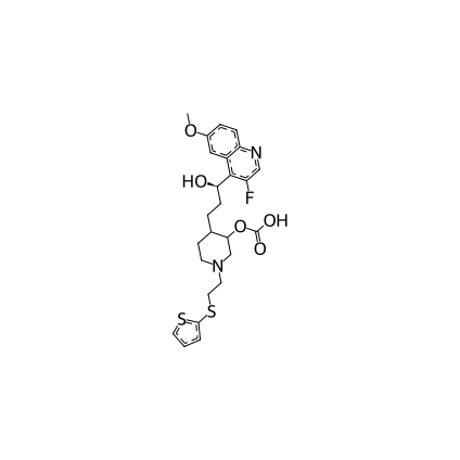 COc1ccc2ncc(F)c([C@H](O)CCC3CCN(CCSc4cccs4)CC3OC(=O)O)c2c1